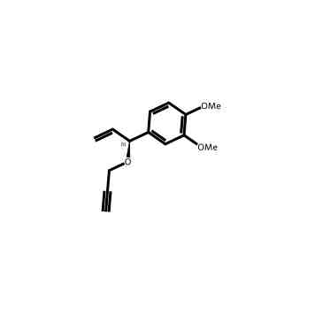 C#CCO[C@@H](C=C)c1ccc(OC)c(OC)c1